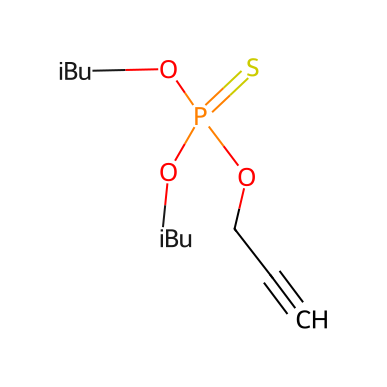 C#CCOP(=S)(OC(C)CC)OC(C)CC